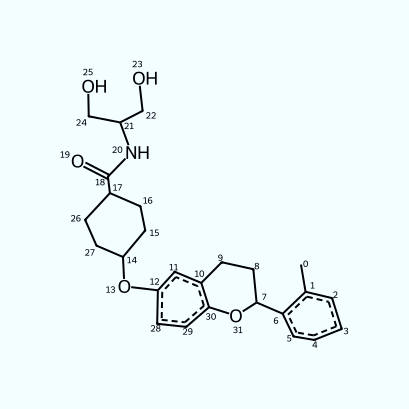 Cc1ccccc1C1CCc2cc(OC3CCC(C(=O)NC(CO)CO)CC3)ccc2O1